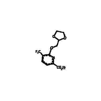 CCOC(=O)c1ccc(C(F)(F)F)c(OCC2OCCO2)n1